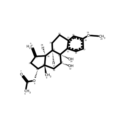 C=C1C[C@@H](OC(C)=O)[C@@]2(C)C[C@@H](O)[C@]3(O)c4ccc(OC)cc4CC[C@@H]3[C@H]12